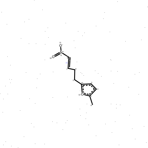 Cc1ccc(CC/C=C/[N+](=O)[O-])o1